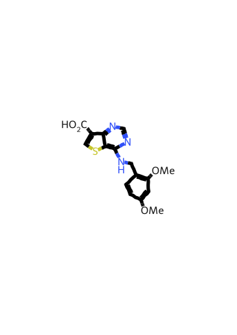 COc1ccc(CNc2ncnc3c(C(=O)O)csc23)c(OC)c1